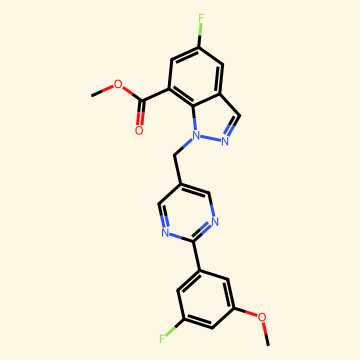 COC(=O)c1cc(F)cc2cnn(Cc3cnc(-c4cc(F)cc(OC)c4)nc3)c12